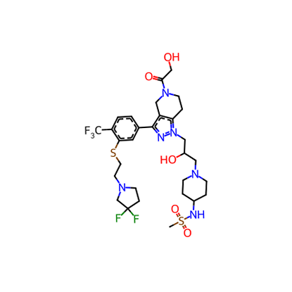 CS(=O)(=O)NC1CCN(CC(O)Cn2nc(-c3ccc(C(F)(F)F)c(SCCN4CCC(F)(F)C4)c3)c3c2CCN(C(=O)CO)C3)CC1